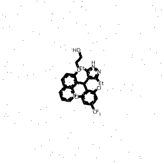 CCc1n[nH]c(CC)c1C(c1c(Cl)cc(C(F)(F)F)cc1Cl)c1c(OCCO)ccc2cccnc12